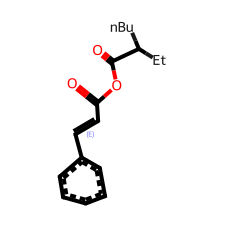 CCCCC(CC)C(=O)OC(=O)/C=C/c1ccccc1